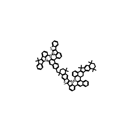 CC1(C)CCC(C)(C)c2cc3c(cc21)C1=C(c2cccc4c2C(C1)c1c2c(cc5ccccc15)-c1cccc5c6sc7cc8c(cc7c6n(c15)B42)C(C)(C)CCC8(C)Cc1ccc2c4c5c(cc2c1)-n1c2c(c6cccc(c61)B5n1c5sc6ccccc6c5c5cccc-4c51)C(C)(C)c1ccccc1-2)C3(C)C